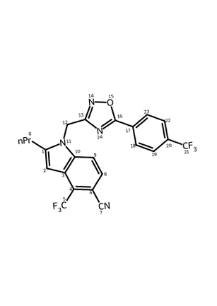 CCCc1cc2c(C(F)(F)F)c(C#N)ccc2n1Cc1noc(-c2ccc(C(F)(F)F)cc2)n1